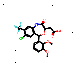 COc1cccc(C2OC(CC(=O)O)C(=O)Nc3cc(C(F)(F)F)c(Cl)cc32)c1OC